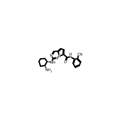 N#Cc1ccccc1NC(=O)c1ccc2cnc(N[C@@H]3CCCC[C@@H]3N)nn12